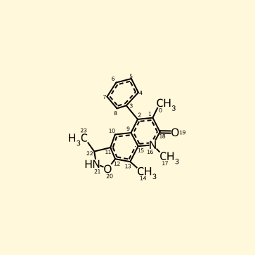 Cc1c(-c2ccccc2)c2cc3c(c(C)c2n(C)c1=O)ONC3C